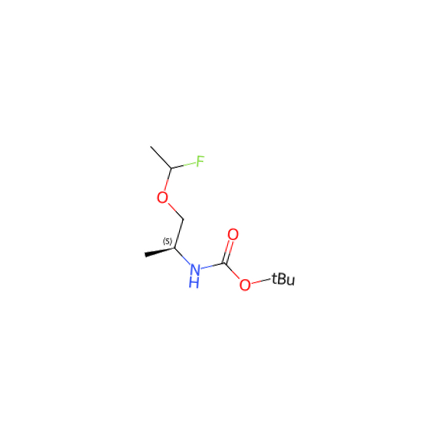 CC(F)OC[C@H](C)NC(=O)OC(C)(C)C